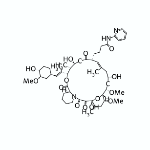 CO[C@H]1C[C@@H](O)C/C(C)=C/[C@@H](CCCC(=O)Nc2ccccn2)C(=O)C[C@H](O)[C@@H](C)[C@@H](/C(C)=C/[C@@H]2CC[C@@H](O)[C@H](OC)C2)OC(=O)[C@@H]2CCCCN2C(=O)C(=O)[C@]2(O)O[C@H]1[C@@H](OC)C[C@H]2C